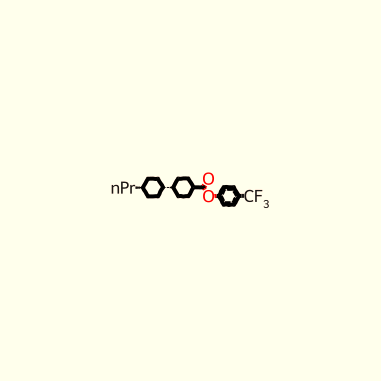 CCC[C@H]1CC[C@H](C2CCC(C(=O)Oc3ccc(C(F)(F)F)cc3)CC2)CC1